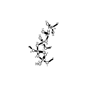 COP(=O)(O)OP(=O)(OC)OP(=O)(OC)O[PH](=O)O[PH](C)=O